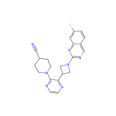 N#CC1CCN(c2nccnc2C2CN(c3ncc4ccc(F)cc4n3)C2)CC1